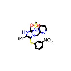 CC(C)C1=C(Sc2cccc([N+](=O)[O-])c2)N(Cc2ccccn2)C(C)(NS(C)(=O)=O)N1